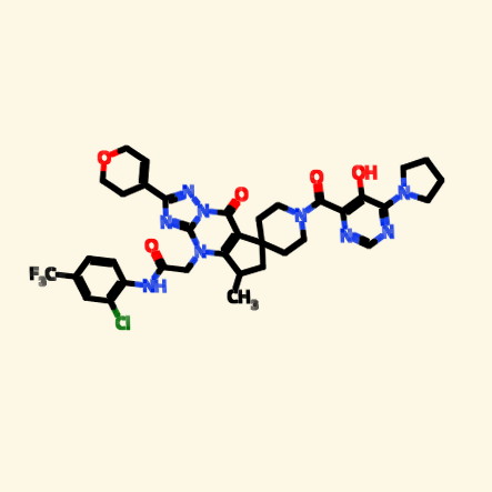 CC1CC2(CCN(C(=O)c3ncnc(N4CCCC4)c3O)CC2)c2c1n(CC(=O)Nc1ccc(C(F)(F)F)cc1Cl)c1nc(C3=CCOCC3)nn1c2=O